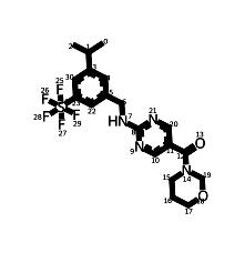 CC(C)c1cc(CNc2ncc(C(=O)N3CCCOC3)cn2)cc(S(F)(F)(F)(F)F)c1